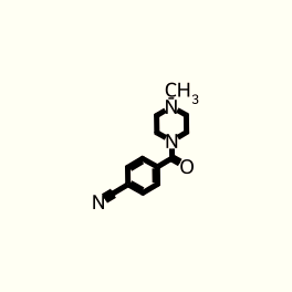 CN1CCN(C(=O)c2ccc(C#N)cc2)CC1